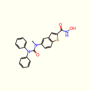 CN(C(=O)N(c1ccccc1)c1ccccc1)c1ccc2sc(C(=O)NO)cc2c1